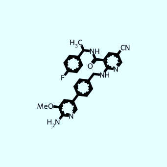 COc1cc(-c2ccc(CNc3ncc(C#N)cc3C(=O)NC(C)c3ccc(F)cc3)cc2)cnc1N